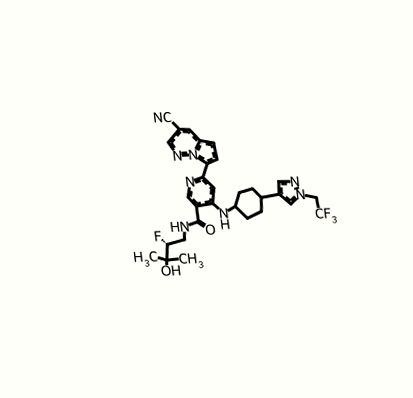 CC(C)(O)[C@H](F)CNC(=O)c1cnc(-c2ccc3cc(C#N)cnn23)cc1NC1CCC(c2cnn(CC(F)(F)F)c2)CC1